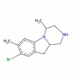 Cc1cc2c(cc1Br)CC1CNCC(C)N21